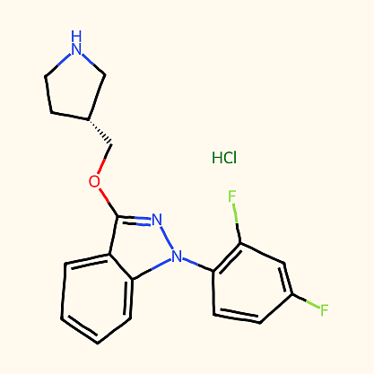 Cl.Fc1ccc(-n2nc(OC[C@@H]3CCNC3)c3ccccc32)c(F)c1